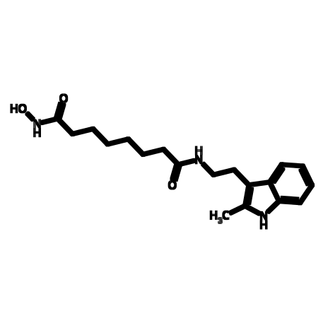 Cc1[nH]c2ccccc2c1CCNC(=O)CCCCCCC(=O)NO